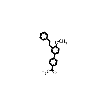 COc1ccc(-c2ccc(C(C)=O)cc2)cc1CCc1ccccc1